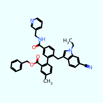 CCn1cc(Cc2ccc(C(=O)NCc3cccnc3)cc2-c2ccc(C)cc2C(=O)OCc2ccccc2)c2ccc(C#N)cc21